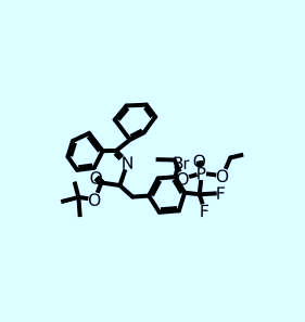 CCOP(=O)(OCC)C(F)(F)c1ccc(CC(N=C(c2ccccc2)c2ccccc2)C(=O)OC(C)(C)C)cc1Br